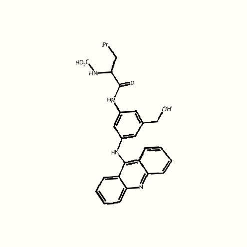 CC(C)CC(NC(=O)O)C(=O)Nc1cc(CO)cc(Nc2c3ccccc3nc3ccccc23)c1